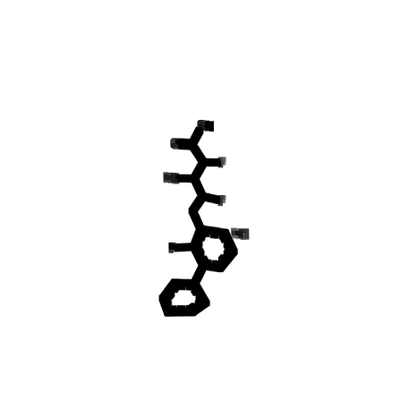 Cl.O=C(O)C(F)C(O)C(F)Cc1cccc(-c2ccccc2)c1F